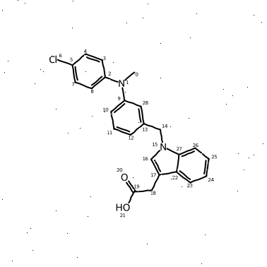 CN(c1ccc(Cl)cc1)c1cccc(Cn2cc(CC(=O)O)c3ccccc32)c1